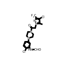 Cc1c(Cl)c(C(F)(F)F)nn1CC(=O)N1CCN(c2ccc(Cl)c(NC=O)c2)CC1